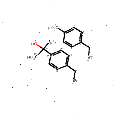 CC(C)Cc1ccc(C(=O)O)cc1.CC(C)Cc1ccc(C(C)(O)C(=O)O)cc1